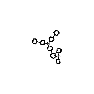 CC1(c2ccccc2)c2ccccc2-c2c(-c3ccc(N(c4ccc(-c5ccccc5)cc4)c4ccc(-c5ccccc5)cc4)cc3)cccc21